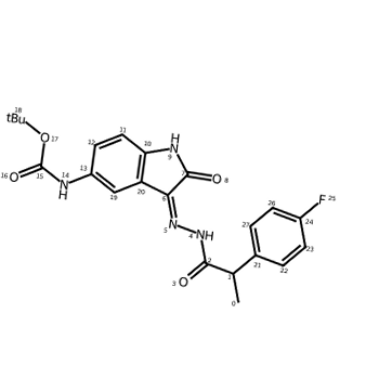 CC(C(=O)NN=C1C(=O)Nc2ccc(NC(=O)OC(C)(C)C)cc21)c1ccc(F)cc1